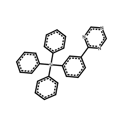 c1ccc([Si](c2ccccc2)(c2ccccc2)c2cccc(-c3ncncn3)c2)cc1